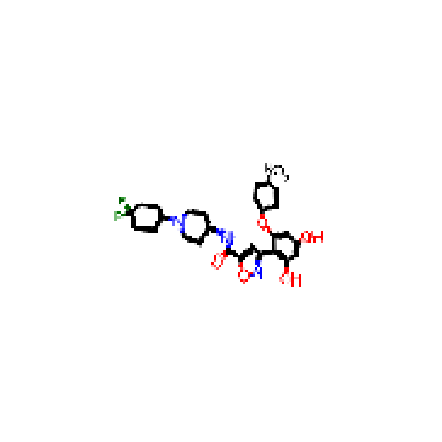 O=C(NC1CCN(C2CCC(F)(F)CC2)CC1)c1cc(-c2c(O)cc(O)cc2Oc2ccc([N+](=O)[O-])cc2)no1